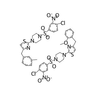 COc1ccccc1Cc1csc(N2CCN(S(=O)(=O)c3ccc(Cl)c([N+](=O)[O-])c3)CC2)n1.Cc1cccc(Cc2csc(N3CCN(S(=O)(=O)c4ccc(Cl)c([N+](=O)[O-])c4)CC3)n2)c1